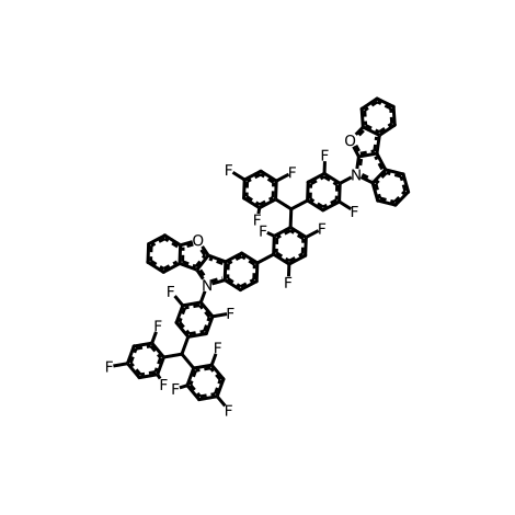 Fc1cc(F)c(C(c2cc(F)c(-n3c4ccc(-c5c(F)cc(F)c(C(c6cc(F)c(-n7c8ccccc8c8c9ccccc9oc87)c(F)c6)c6c(F)cc(F)cc6F)c5F)cc4c4oc5ccccc5c43)c(F)c2)c2c(F)cc(F)cc2F)c(F)c1